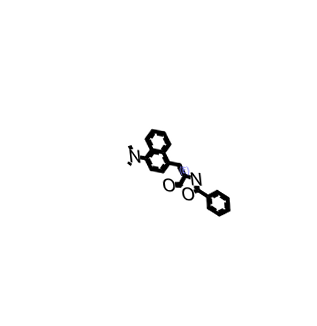 CN(C)c1ccc(/C=C2/N=C(c3ccccc3)OC2=O)c2ccccc12